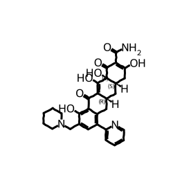 NC(=O)C1=C(O)C[C@@H]2C[C@@H]3Cc4c(-c5ccccn5)cc(CN5CCCCC5)c(O)c4C(=O)C3=C(O)[C@]2(O)C1=O